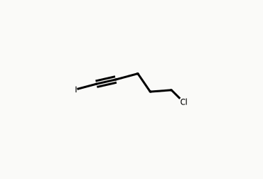 ClCCCC#CI